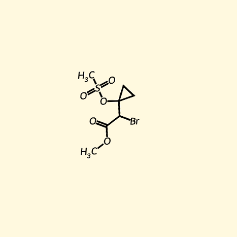 COC(=O)C(Br)C1(OS(C)(=O)=O)CC1